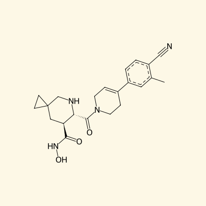 Cc1cc(C2=CCN(C(=O)[C@H]3NCC4(CC4)C[C@@H]3C(=O)NO)CC2)ccc1C#N